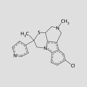 CN1Cc2c3n(c4ccc(Cl)cc24)CC(C)(c2ccncc2)SC3C1